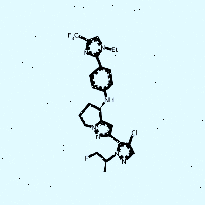 CCn1cc(C(F)(F)F)nc1-c1ccc(N[C@@H]2CCCn3nc(-c4c(Cl)cnn4[C@@H](C)CF)cc32)cc1